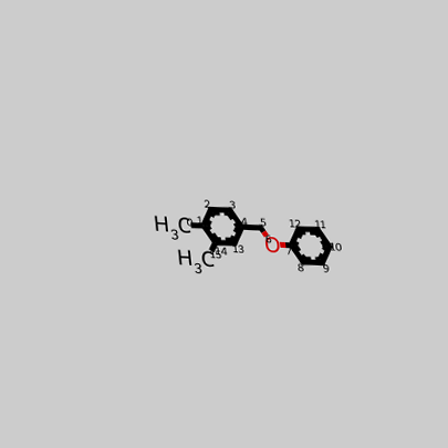 Cc1ccc(COc2cc[c]cc2)cc1C